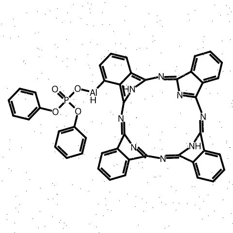 O=P([O][AlH][c]1cccc2c3nc4nc(nc5[nH]c(nc6nc(nc([nH]3)c12)-c1ccccc1-6)c1ccccc51)-c1ccccc1-4)(Oc1ccccc1)Oc1ccccc1